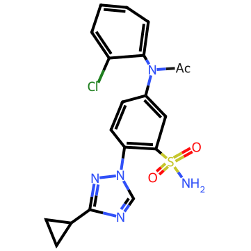 CC(=O)N(c1ccc(-n2cnc(C3CC3)n2)c(S(N)(=O)=O)c1)c1ccccc1Cl